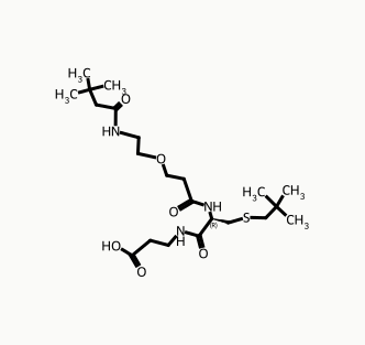 CC(C)(C)CSC[C@H](NC(=O)CCOCCNC(=O)CC(C)(C)C)C(=O)NCCC(=O)O